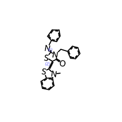 CN1/C(=C2/S/C(=N/c3ccccc3)N(Cc3ccccc3)C2=O)Sc2ccccc21